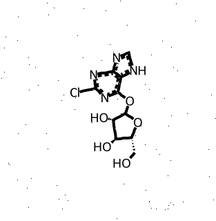 OC[C@H]1OC(Oc2nc(Cl)nc3nc[nH]c23)[C@@H](O)[C@@H]1O